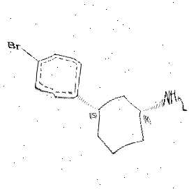 N[C@@H]1CCC[C@H](c2ccc(Br)cc2)C1